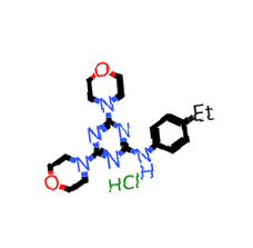 CCc1ccc(Nc2nc(N3CCOCC3)nc(N3CCOCC3)n2)cc1.Cl